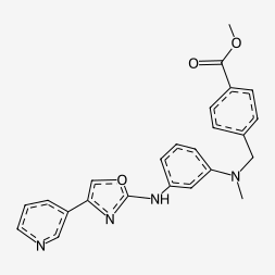 COC(=O)c1ccc(CN(C)c2cccc(Nc3nc(-c4cccnc4)co3)c2)cc1